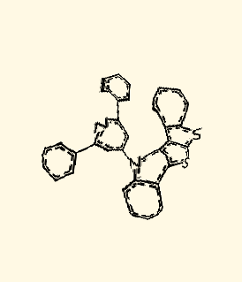 c1ccc(-c2cc(-n3c4ccccc4c4sc5sc6ccccc6c5c43)cc(-c3ccccc3)n2)cc1